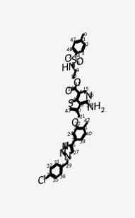 Cc1ccc(S(=O)(=O)NCCOC(=O)c2cnc(N)c3c(COc4cc(-c5cn(Cc6ccc(Cl)cc6)nn5)ccc4C)csc23)cc1